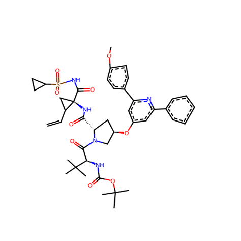 C=CC1C[C@]1(NC(=O)[C@@H]1C[C@@H](Oc2cc(-c3ccccc3)nc(-c3ccc(OC)cc3)c2)CN1C(=O)[C@@H](NC(=O)OC(C)(C)C)C(C)(C)C)C(=O)NS(=O)(=O)C1CC1